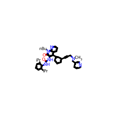 CCCCn1c(=O)c(NC(=O)Nc2c(C(C)C)cccc2C(C)C)c(-c2cccc(C#CCN(C)Cc3cccnc3)c2)c2cccnc21